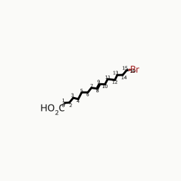 O=C(O)CCCCCCCC=CCCCCCCBr